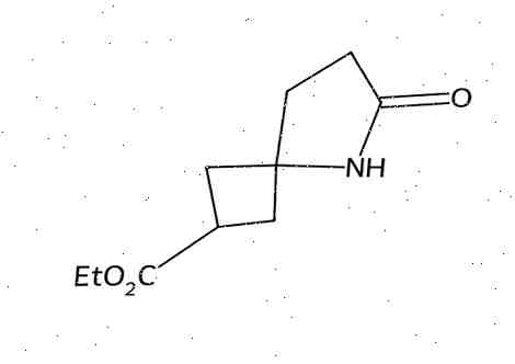 CCOC(=O)C1CC2(CCC(=O)N2)C1